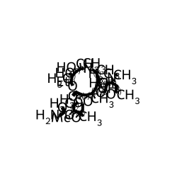 CC[C@H]1OC(=O)[C@H](C)[C@@H](OC2C[C@@](C)(OC)[C@@H](OC(=O)CN)[C@H](C)O2)[C@H](C)[C@@H](O[C@@H]2O[C@H](C)C[C@H](N(C)C)[C@H]2O)[C@](C)(O)C[C@@H](C)CN(C)[C@H](C)[C@H](O)[C@]1(C)O